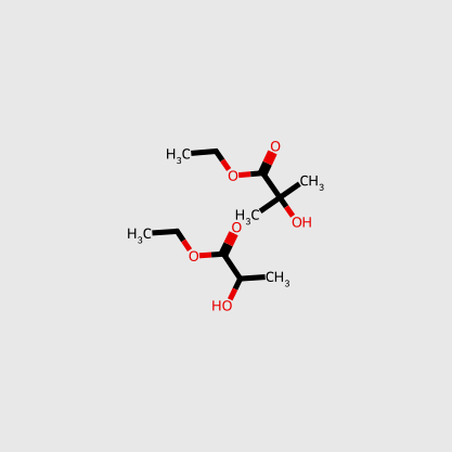 CCOC(=O)C(C)(C)O.CCOC(=O)C(C)O